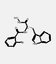 O=C(N[C@@H](Cc1c[nH]c2ccccc12)C(=O)NO)c1ccccc1Br